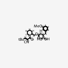 COc1cccc(C[C@H](NC(=O)OCC2CCCCN2C(=O)C(C#N)=CC(C)(C)C)B(O)O)c1